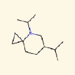 CC(C)C1CCC2(CC2)N(C(C)C)C1